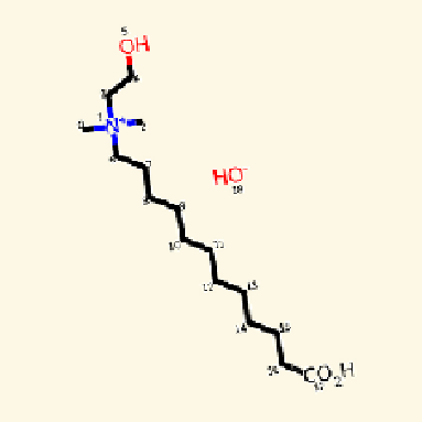 C[N+](C)(CCO)CCCCCCCCCCCC(=O)O.[OH-]